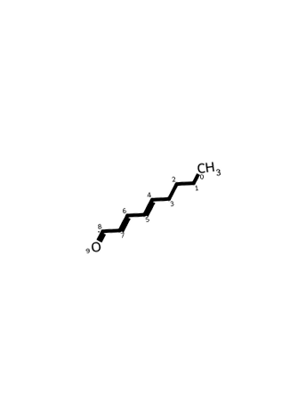 CCCCC=CC=C[C]=O